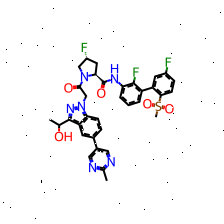 Cc1ncc(-c2ccc3c(c2)c(C(C)O)nn3CC(=O)N2C[C@H](F)C[C@H]2C(=O)Nc2cccc(-c3cc(F)ccc3S(C)(=O)=O)c2F)cn1